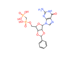 Nc1nc2c(ncn2C2OC(COP(=O)(O)CP(=O)(O)O)C3OC(c4ccccc4)OC32)c(=O)[nH]1